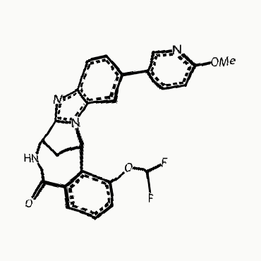 COc1ccc(-c2ccc3nc4n(c3c2)C2CC4NC(=O)c3cccc(OC(F)F)c32)cn1